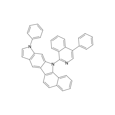 c1ccc(-c2cnc(-n3c4cc5c(ccn5-c5ccccc5)cc4c4ccc5ccccc5c43)c3ccccc23)cc1